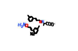 CC(=NOCC=Cc1cccc(C)c1)C(=O)[O-].Cc1cccc(C=CCON)c1.[Na+]